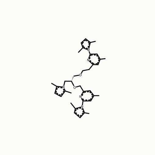 Cc1cc(CCOC[C@@H](Cn2c(C)ccc2C)OCc2cc(C)cc(-n3c(C)ccc3C)n2)nc(-n2c(C)ccc2C)c1